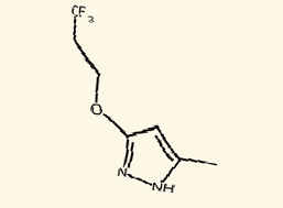 Cc1cc(OCCC(F)(F)F)n[nH]1